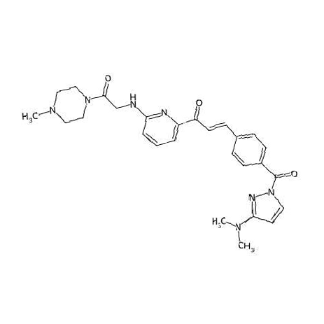 CN1CCN(C(=O)CNc2cccc(C(=O)C=Cc3ccc(C(=O)n4ccc(N(C)C)n4)cc3)n2)CC1